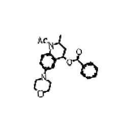 CC(=O)N1c2ccc(N3CCOCC3)cc2C(OC(=O)c2ccccc2)CC1C